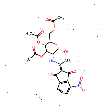 CC(=O)OC[C@H]1O[C@H](O)[C@H](NC(C)=C2C(=O)c3cccc([N+](=O)[O-])c3C2=O)[C@@H](OC(C)=O)[C@@H]1OC(C)=O